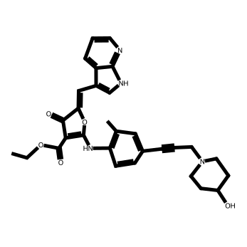 CCOC(=O)C1=C(Nc2ccc(C#CCN3CCC(O)CC3)cc2C)OC(=Cc2c[nH]c3ncccc23)C1=O